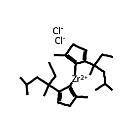 CCC(C)(CC(C)C)C1=CCC(C)=[C]1[Zr+2][C]1=C(C)CC=C1C(C)(CC)CC(C)C.[Cl-].[Cl-]